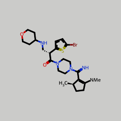 CNC1=C(C(=N)N2CCN(C(=O)[C@H](CNC3CCOCC3)c3ccc(Br)s3)CC2)[C@H](C)CC1